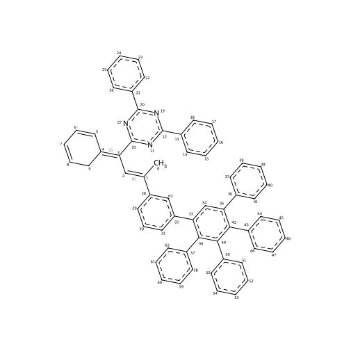 C/C(=C\C(=C1\C=CC=CC1)c1nc(-c2ccccc2)nc(-c2ccccc2)n1)c1cccc(-c2cc(-c3ccccc3)c(-c3ccccc3)c(-c3ccccc3)c2-c2ccccc2)c1